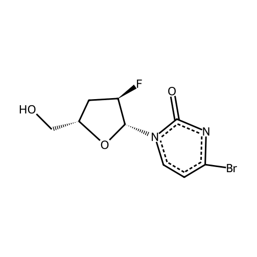 O=c1nc(Br)ccn1[C@@H]1O[C@H](CO)C[C@H]1F